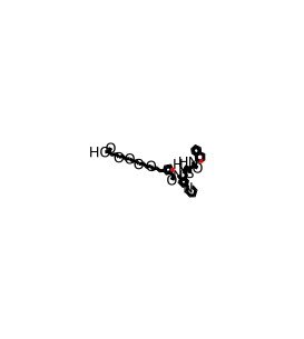 O=C(O)CCOCCOCCOCCOCCCc1cccc(C(=O)Nc2ccc(N3CCCCC3)cc2-c2ncc(C(=O)N[C@H]3CCCc4ccccc43)s2)c1